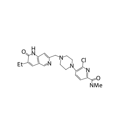 CCc1cc2cnc(CN3CCN(c4ccc(C(=O)NC)nc4Cl)CC3)cc2[nH]c1=O